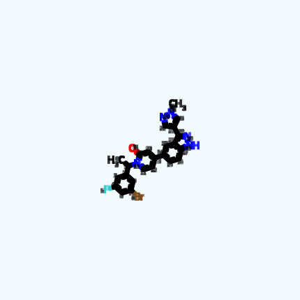 CC(c1cc(F)cc(Br)c1)n1ccc(-c2ccc3[nH]nc(-c4cnn(C)c4)c3c2)cc1=O